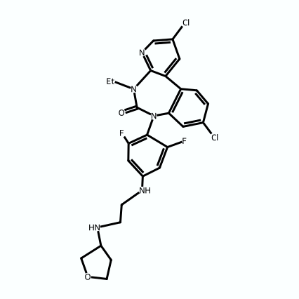 CCN1C(=O)N(c2c(F)cc(NCCNC3CCOC3)cc2F)c2cc(Cl)ccc2-c2cc(Cl)cnc21